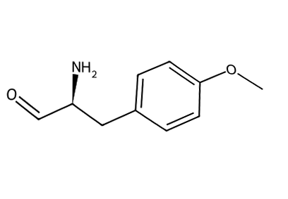 COc1ccc(C[C@H](N)C=O)cc1